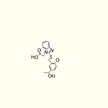 COc1ccc(C(C)O)cc1CSc1nc2ccccc2n1CC(=O)O